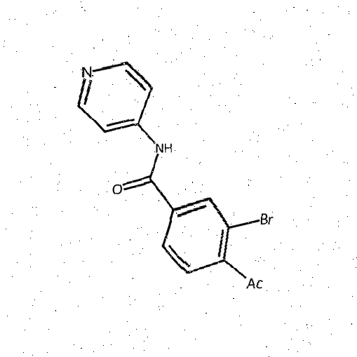 CC(=O)c1ccc(C(=O)Nc2ccncc2)cc1Br